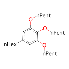 [CH2]CCCCCc1cc(OCCCCC)c(OCCCCC)c(OCCCCC)c1